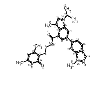 Cc1cc(C)c(CCNC(=O)c2cc(-c3ccc4cnn(C)c4c3)cc3c2c(C)cn3C(C)C)c(=O)[nH]1